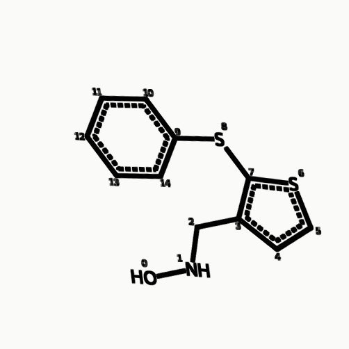 ONCc1ccsc1Sc1ccccc1